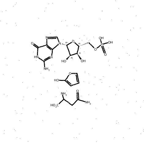 NC(=O)CC(N)C(=O)O.Nc1nc2c(ncn2[C@@H]2O[C@H](COP(=O)(O)O)[C@@H](O)[C@H]2O)c(=O)[nH]1.Oc1ccco1